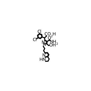 NC(=O)c1c(C(CC(=O)O)c2cc(Cl)cc(Cl)c2)nn(CCCc2ccc3c(n2)NCCC3)c1CO